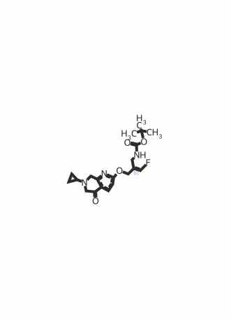 CC(C)(C)OC(=O)NC/C(=C\F)COc1ccc2c(n1)CN(C1CC1)CC2=O